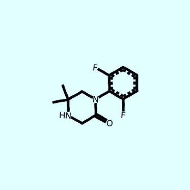 CC1(C)CN(c2c(F)cccc2F)C(=O)CN1